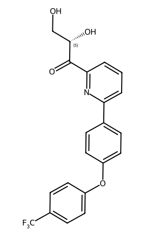 O=C(c1cccc(-c2ccc(Oc3ccc(C(F)(F)F)cc3)cc2)n1)[C@@H](O)CO